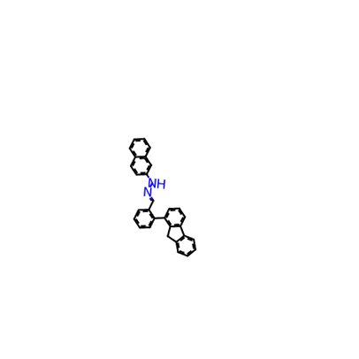 C(=N\Nc1ccc2ccccc2c1)/c1ccccc1-c1cccc2c1Cc1ccccc1-2